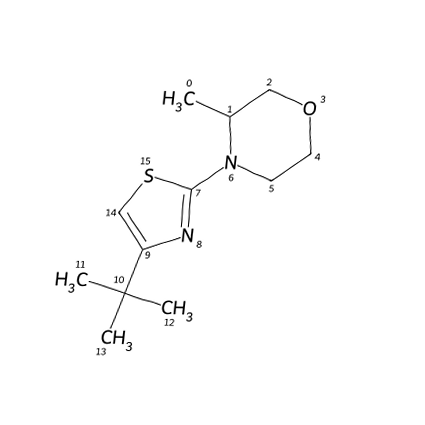 CC1COCCN1c1nc(C(C)(C)C)cs1